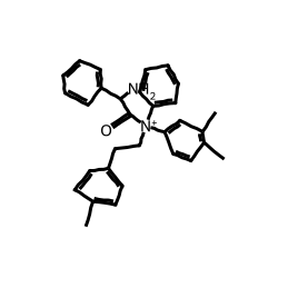 Cc1ccc(CC[N+](C(=O)C(N)c2ccccc2)(c2ccccc2)c2ccc(C)c(C)c2)cc1